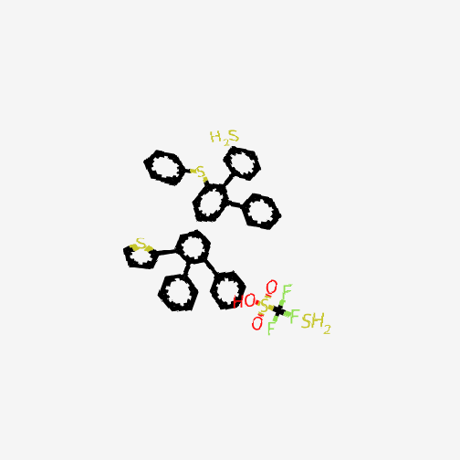 O=S(=O)(O)C(F)(F)F.S.S.c1ccc(-c2cccc(-c3cccs3)c2-c2ccccc2)cc1.c1ccc(Sc2cccc(-c3ccccc3)c2-c2ccccc2)cc1